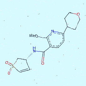 COc1nc(C2CCOCC2)ccc1C(=O)N[C@@H]1C=CS(=O)(=O)C1